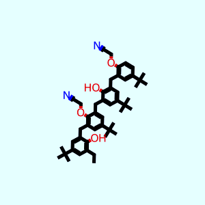 CCc1cc(C(C)(C)C)cc(Cc2cc(C(C)(C)C)cc(Cc3cc(C(C)(C)C)cc(Cc4cc(C(C)(C)C)ccc4OCC#N)c3O)c2OCC#N)c1O